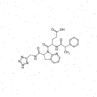 CC(C(=O)NC(CCC(=O)O)C(=O)N1c2ncccc2CC1C(=O)NCc1nn[nH]n1)c1ccccc1